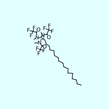 CCCCCCCCCCCCCCCCC[Si](N(C)C(=O)C(F)(F)F)(N(C)C(=O)C(F)(F)F)N(C)C(=O)C(F)(F)F